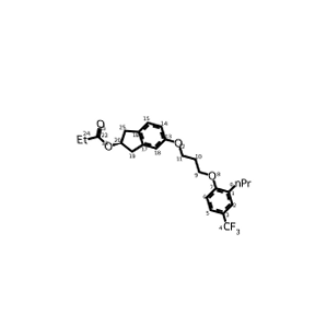 CCCc1cc(C(F)(F)F)ccc1OCCCOc1ccc2c(c1)C[C@@H](OC(=O)CC)C2